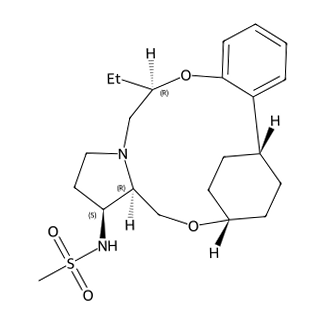 CC[C@@H]1CN2CC[C@H](NS(C)(=O)=O)[C@@H]2CO[C@H]2CC[C@H](CC2)c2ccccc2O1